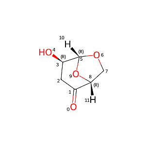 O=C1C[C@@H](O)[C@@H]2OC[C@H]1O2